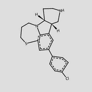 Clc1ccc(-c2cc3c4c(c2)[C@H]2CNCC[C@H]2N4CCCS3)cc1